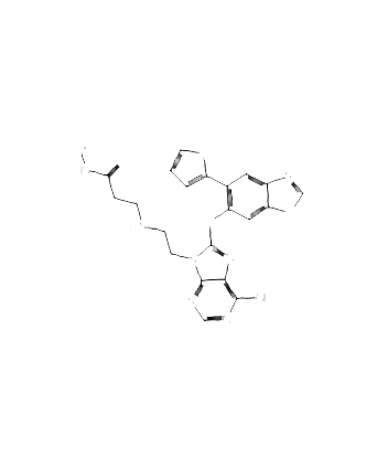 Nc1ncnc2c1nc(Sc1cc3ocnc3cc1-c1ccco1)n2CCNCCC(=O)NO